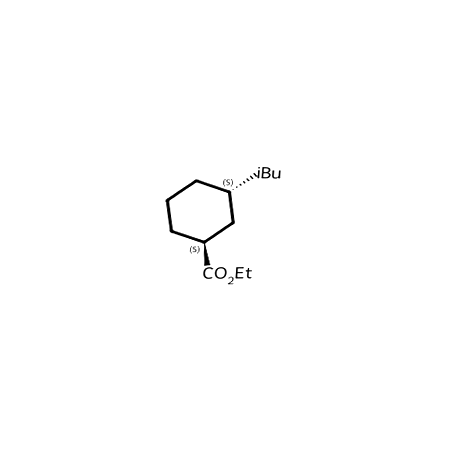 CCOC(=O)[C@H]1CCC[C@H](C(C)CC)C1